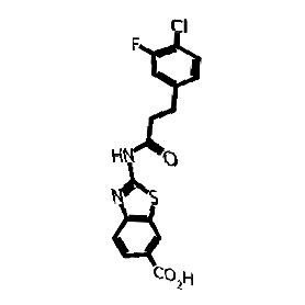 O=C(CCc1ccc(Cl)c(F)c1)Nc1nc2ccc(C(=O)O)cc2s1